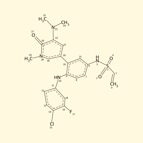 C=CS(=O)(=O)Nc1ccc(Nc2ccc(Cl)c(F)c2)c(-c2cc(N(C)C)c(=O)n(C)c2)c1